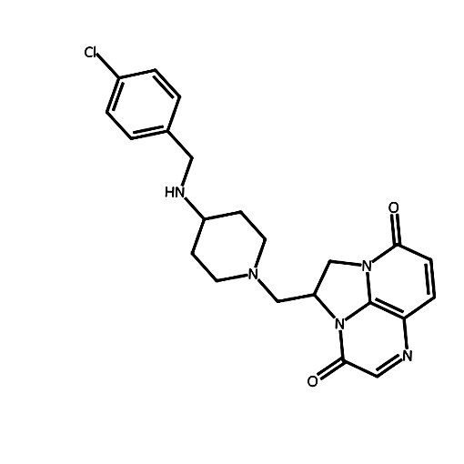 O=c1ccc2ncc(=O)n3c2n1CC3CN1CCC(NCc2ccc(Cl)cc2)CC1